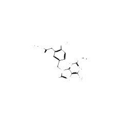 CCCCOc1nc(N)c2nc(O)n(Cc3ccc(OC)c(CC(=O)OC)c3)c2n1